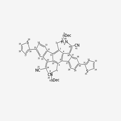 CCCCCCCCCCCCc1c2c(c(CCCCCCCCCCCC)c3c1-c1ccc(-c4cccs4)cc1C3=C(C#N)C#N)-c1ccc(-c3cccs3)cc1/C2=C(/N)C#N